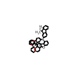 CC1(C)c2ccccc2-c2ccc(N(c3ccc4c(c3)C(C)(C)c3ccccc3-4)c3cccc4oc5c6ccccc6c(-c6ccccc6-c6ccccc6)cc5c34)cc21